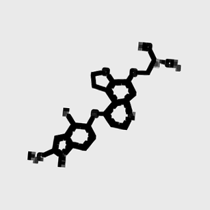 Cc1cc2c(F)c(Oc3ccnc4cc(OC[C@@H](C)O)c5c(c34)CCO5)ccc2[nH]1